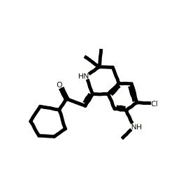 CNc1cc2c(cc1Cl)CC(C)(C)NC2=CC(=O)C1CCCCC1